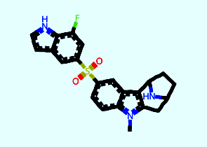 Cn1c2c(c3cc(S(=O)(=O)c4cc(F)c5[nH]ccc5c4)ccc31)C1CCC(C2)N1